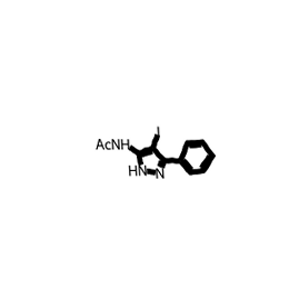 CC(=O)Nc1[nH]nc(-c2ccccc2)c1I